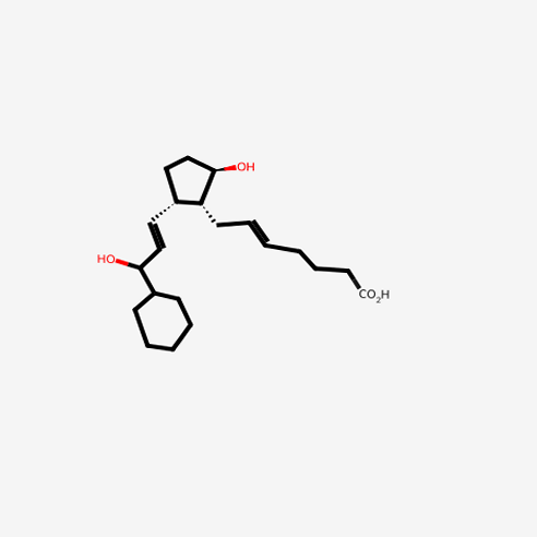 O=C(O)CCCC=CC[C@H]1[C@H](O)CC[C@H]1C=CC(O)C1CCCCC1